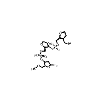 BC1CC(OP(=O)(O)SCC2OCCC2OP(=O)(O)OCC2OCCC2CS)C(COS)O1